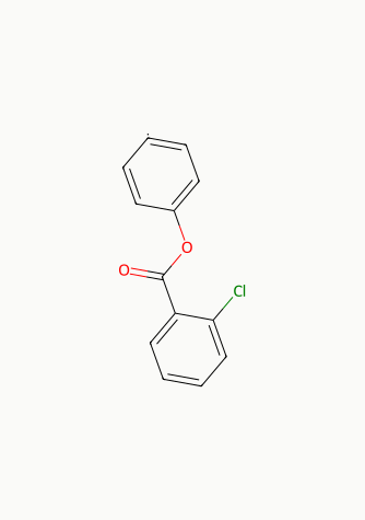 O=C(Oc1cc[c]cc1)c1ccccc1Cl